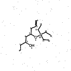 C=CCC(CC(O)CC)O[Si](CC)(CC)CC